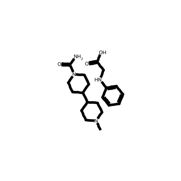 CN1CCC(C2CCN(C(N)=O)CC2)CC1.O=C(O)CNc1ccccc1